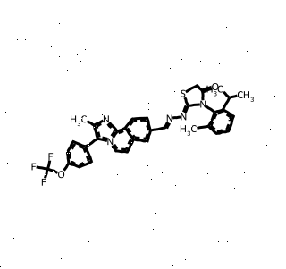 Cc1cccc(C(C)C)c1N1C(=O)CS/C1=N\N=C\c1ccc2c(ccn3c(-c4ccc(OC(F)(F)F)cc4)c(C)nc23)c1